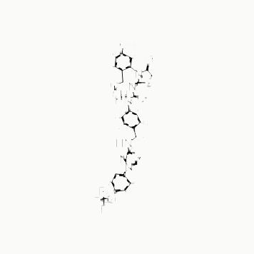 COCc1ccc(C)cc1N1C(=O)CSC1=NC(=O)Nc1ccc(CNc2ncn(-c3ccc(OC(F)(F)F)cc3)n2)cc1